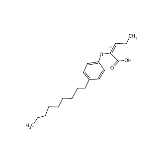 CC/C=C(/Oc1ccc(CCCCCCCCC)cc1)C(=O)O